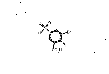 O=C(O)c1cc(S(=O)(=O)Cl)cc(Br)c1F